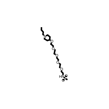 CCCCN1CCC(OCCOCCOCCOCCOCCNS(C)(=O)=O)CC1